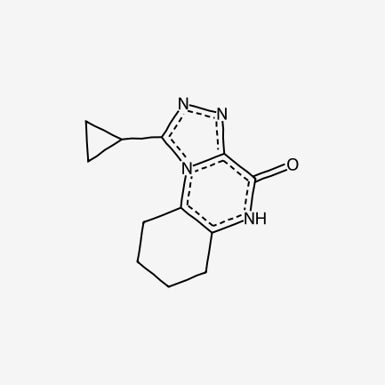 O=c1[nH]c2c(n3c(C4CC4)nnc13)CCCC2